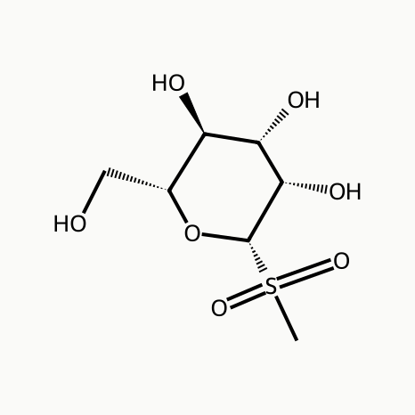 CS(=O)(=O)[C@@H]1O[C@H](CO)[C@@H](O)[C@H](O)[C@@H]1O